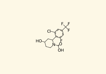 O=C(O)N1CCC(O)CC1c1c(F)cc(C(F)(F)F)cc1Cl